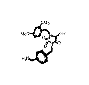 COc1ccc(CN2C(O)CN(Cc3ccc(CN)cc3)S2(=O)=O)c(OC)c1.Cl